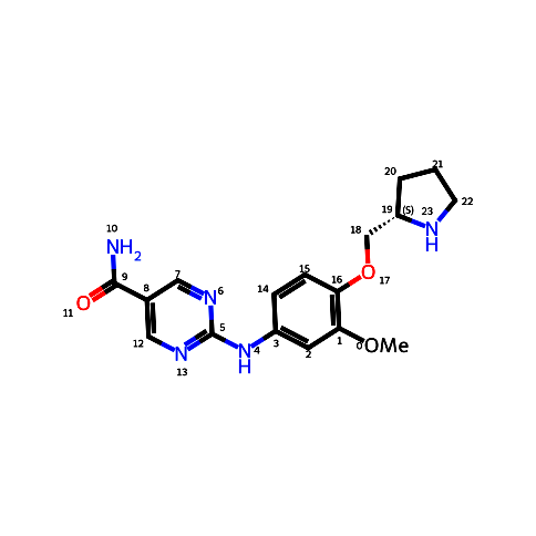 COc1cc(Nc2ncc(C(N)=O)cn2)ccc1OC[C@@H]1CCCN1